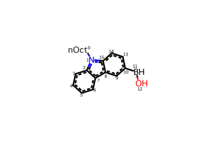 CCCCCCCCn1c2ccccc2c2cc(BO)ccc21